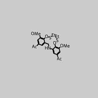 CCSOc1c(CNc2cc(C(C)=O)cc(OC)c2OSCC)cc(C(C)=O)cc1OC